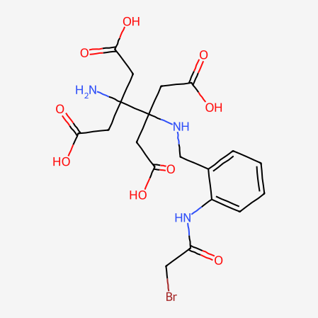 NC(CC(=O)O)(CC(=O)O)C(CC(=O)O)(CC(=O)O)NCc1ccccc1NC(=O)CBr